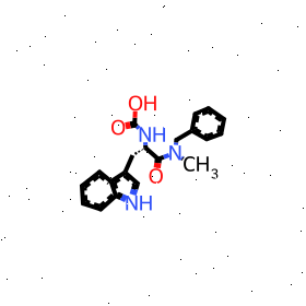 CN(Cc1ccccc1)C(=O)[C@H](Cc1c[nH]c2ccccc12)NC(=O)O